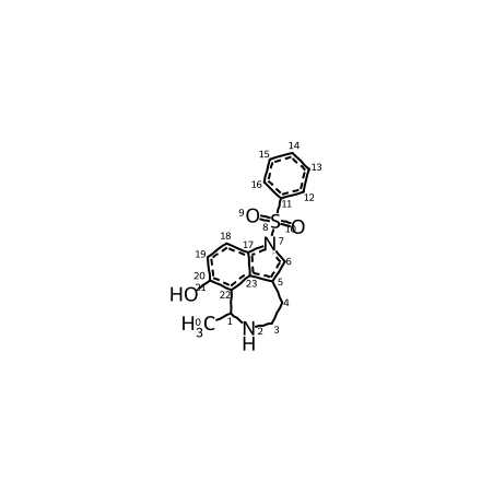 CC1NCCc2cn(S(=O)(=O)c3ccccc3)c3ccc(O)c1c23